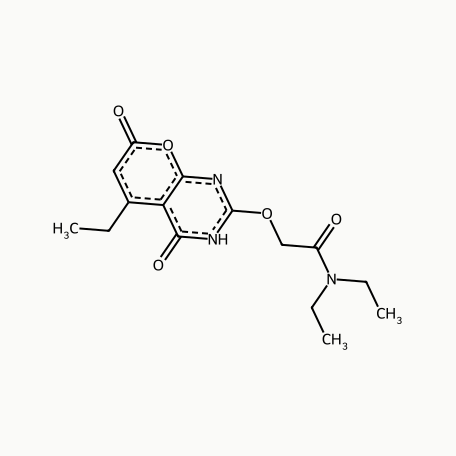 CCc1cc(=O)oc2nc(OCC(=O)N(CC)CC)[nH]c(=O)c12